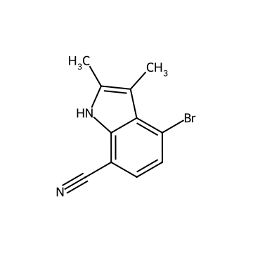 Cc1[nH]c2c(C#N)ccc(Br)c2c1C